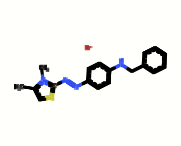 Cc1cs[c+](N=Nc2ccc(NCc3ccccc3)cc2)n1C.[Br-]